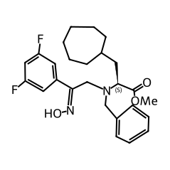 COC(=O)[C@H](CC1CCCCCC1)N(CC(=NO)c1cc(F)cc(F)c1)Cc1ccccc1